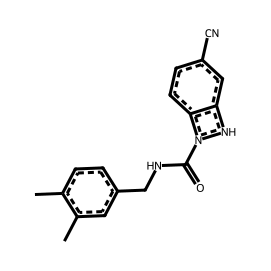 Cc1ccc(CNC(=O)n2[nH]c3cc(C#N)ccc32)cc1C